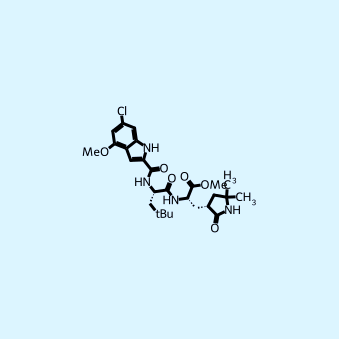 COC(=O)[C@H](C[C@@H]1CC(C)(C)NC1=O)NC(=O)[C@H](CC(C)(C)C)NC(=O)c1cc2c(OC)cc(Cl)cc2[nH]1